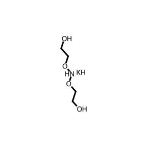 OCCONOCCO.[KH]